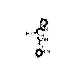 CC(Cc1cnc2ccccn12)NCC(O)COc1ccccc1C#N